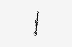 CCCCCCCCOCOC=CCCCCC=O